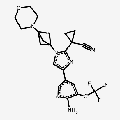 N#CC1(c2nc(-c3cnc(N)c(OC(F)(F)F)c3)cn2C23CC(N4CCOCC4)(C2)C3)CC1